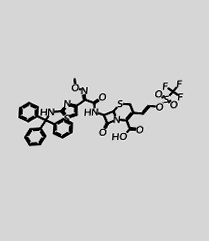 CO/N=C(/C(=O)NC1C(=O)N2C(C(=O)O)=C(/C=C/OS(=O)(=O)C(F)(F)F)CSC12)c1csc(NC(c2ccccc2)(c2ccccc2)c2ccccc2)n1